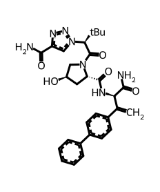 C=C(c1ccc(-c2ccccc2)cc1)[C@@H](NC(=O)[C@@H]1C[C@@H](O)CN1C(=O)[C@@H](n1cc(C(N)=O)nn1)C(C)(C)C)C(N)=O